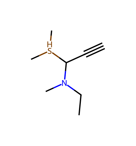 C#CC(N(C)CC)[SH](C)C